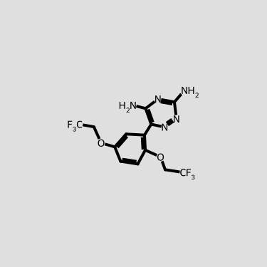 Nc1nnc(-c2cc(OCC(F)(F)F)ccc2OCC(F)(F)F)c(N)n1